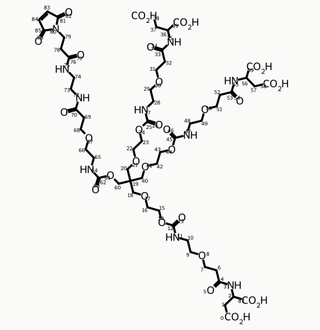 O=C(O)CC(NC(=O)CCOCCNC(=O)OCCOCC(COCCOC(=O)NCCOCCC(=O)NC(CC(=O)O)C(=O)O)(COCCOC(=O)NCCOCCC(=O)NC(CC(=O)O)C(=O)O)COC(=O)NCCOCCC(=O)NCCNC(=O)CCN1C(=O)C=CC1=O)C(=O)O